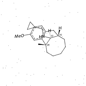 COc1ccc2c(c1)[C@@]1(C)CCCCC[C@@H](C2)[C@@H]1NCC1CC1